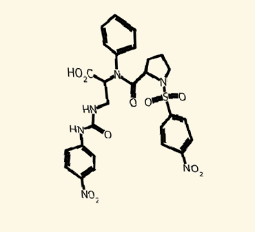 O=C(NCC(C(=O)O)N(C(=O)C1CCCN1S(=O)(=O)c1ccc([N+](=O)[O-])cc1)c1ccccc1)Nc1ccc([N+](=O)[O-])cc1